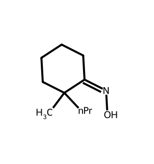 CCCC1(C)CCCCC1=NO